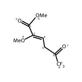 COC(=O)/C(=C/CC(=O)C(F)(F)F)OC